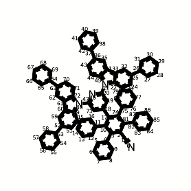 N#Cc1c(-c2ccccc2)c(-c2ccccc2)c(-c2cc(-n3c4ccc(-c5ccccc5)cc4c4cc(-c5ccccc5)ccc43)nc(-n3c4ccc(-c5ccccc5)cc4c4cc(-c5ccccc5)ccc43)c2)c(-c2ccccc2)c1-c1ccccc1